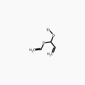 C=COC(C=C)OCC